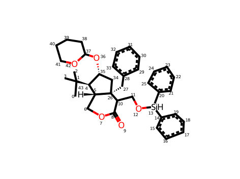 CC(C)(C)[C@@H]1[C@H]2COC(=O)C(CO[SiH](c3ccccc3)c3ccccc3)[C@]2(Cc2ccccc2)C[C@H]1OC1CCCCO1